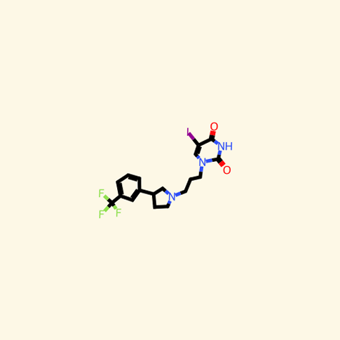 O=c1[nH]c(=O)n(CCCN2CCC(c3cccc(C(F)(F)F)c3)C2)cc1I